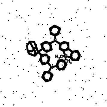 C[Si]1(C)c2ccccc2-c2ccc(N(c3ccccc3)c3ccc(C4(c5ccc(N(c6ccccc6)c6ccccc6)cc5)C5CC6CC(C5)CC4C6)cc3)cc21